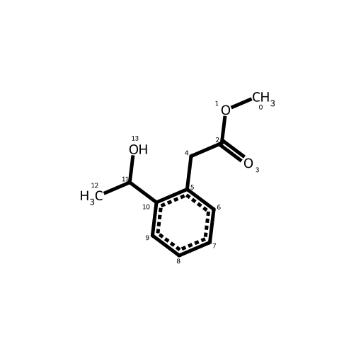 COC(=O)Cc1ccccc1C(C)O